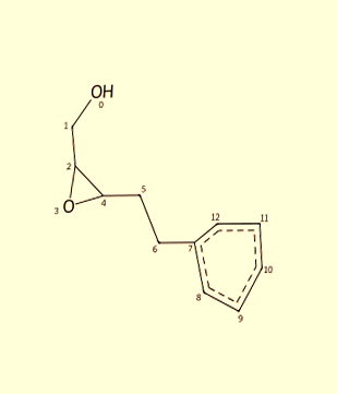 OCC1OC1CCc1ccccc1